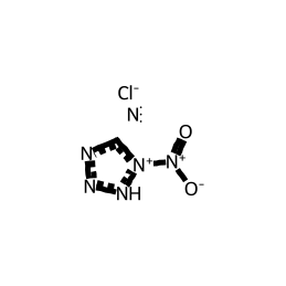 O=[N+]([O-])[n+]1cnn[nH]1.[Cl-].[N]